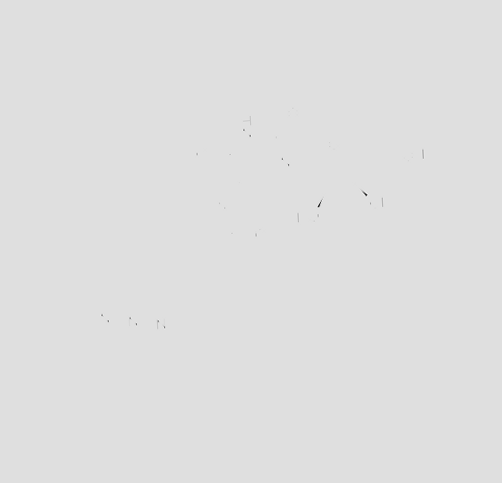 [N-]=[N+]=Nc1ccc(C(=O)Sc2cn([C@@H]3O[C@H](CO)[C@@H](O)[C@H]3O)c(=O)[nH]c2=O)cc1